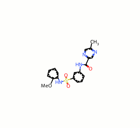 COc1ccccc1NS(=O)(=O)c1cccc(NC(=O)c2cnc(C)cn2)c1